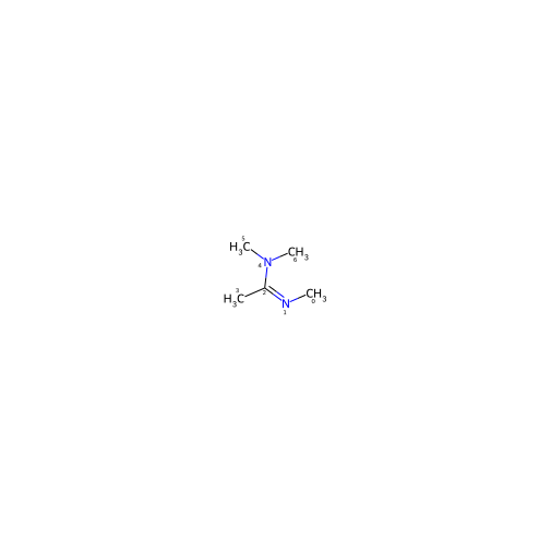 CN=C(C)N(C)C